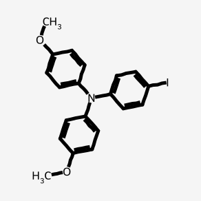 COc1ccc(N(c2ccc(I)cc2)c2ccc(OC)cc2)cc1